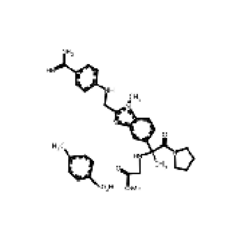 COC(=O)CN[C@@](C)(C(=O)N1CCCC1)c1ccc2c(c1)nc(CNc1ccc(C(=N)N)cc1)n2C.Cc1ccc(S(=O)(=O)O)cc1